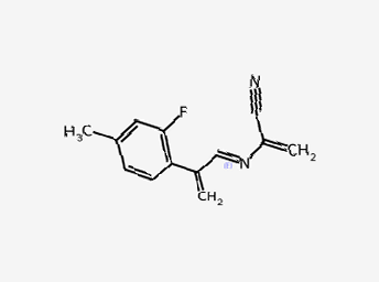 C=C(C#N)/N=C/C(=C)c1ccc(C)cc1F